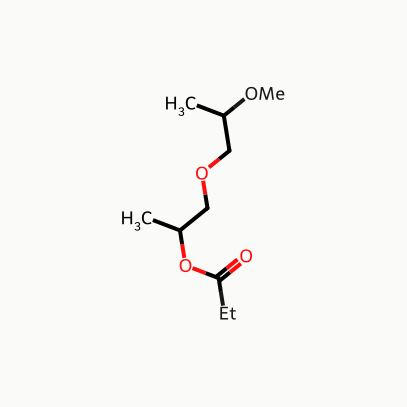 CCC(=O)OC(C)COCC(C)OC